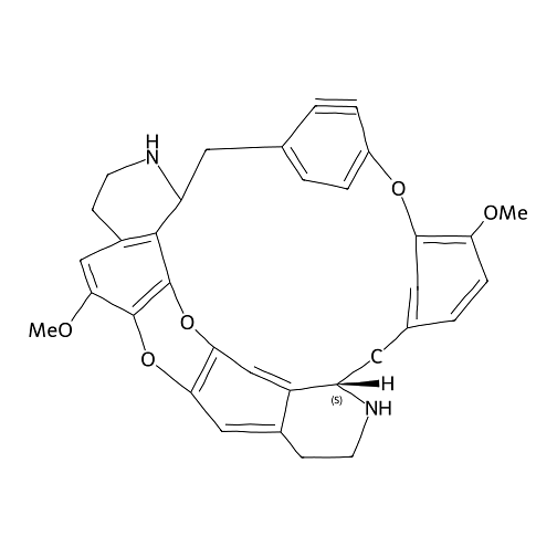 COc1ccc2cc1Oc1c#cc(cc1)CC1NCCc3cc(OC)c4c(c31)Oc1cc3c(cc1O4)CCN[C@H]3C2